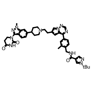 Cc1cc(-c2ncnn3cc(CCN4CCC(c5ccc6c(N7CCC(=O)NC7=O)nn(C)c6c5)CC4)cc23)ccc1CNC(=O)c1cnn(C(C)(C)C)c1